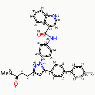 CNC(=O)CCc1cc(-c2ccc(-c3ccc(C)cc3)cc2)n(-c2ccc(NC(=O)c3ccnc4ccccc34)cc2)n1